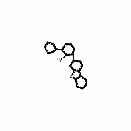 Cc1c(-c2ccccc2)cccc1-c1ccc2c(c1)oc1ccccc12